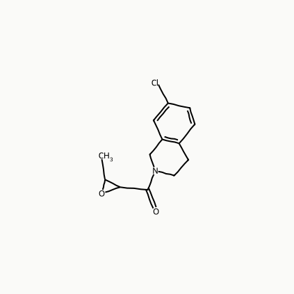 CC1OC1C(=O)N1CCc2ccc(Cl)cc2C1